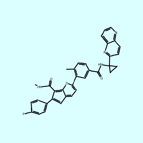 CNC(=O)c1c(-c2ccc(F)cc2)cc2ccc(-c3cc(C(=O)NC4(c5ccc6ncccc6n5)CC4)ccc3C)oc1-2